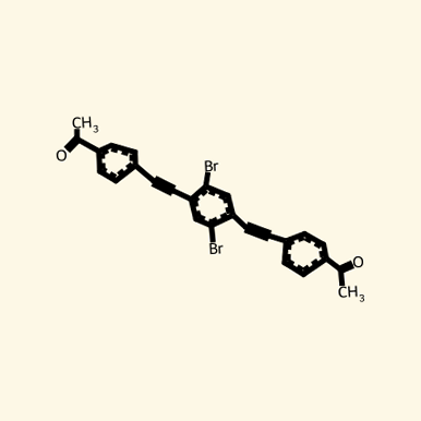 CC(=O)c1ccc(C#Cc2cc(Br)c(C#Cc3ccc(C(C)=O)cc3)cc2Br)cc1